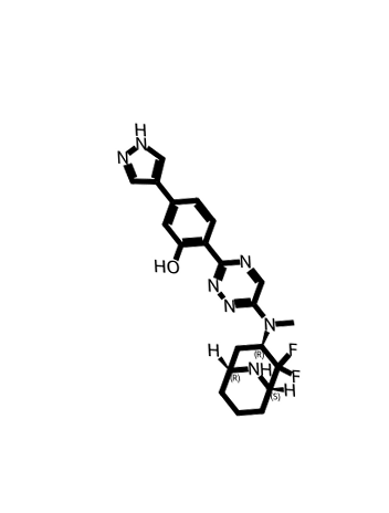 CN(c1cnc(-c2ccc(-c3cn[nH]c3)cc2O)nn1)[C@@H]1C[C@H]2CCC[C@H](N2)C1(F)F